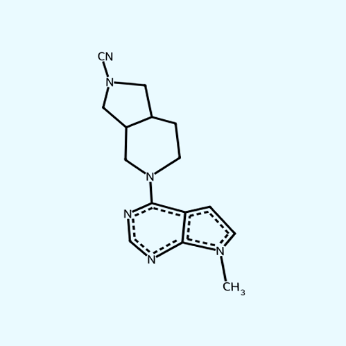 Cn1ccc2c(N3CCC4CN(C#N)CC4C3)ncnc21